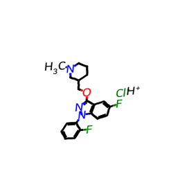 CN1CCCC(COc2nn(-c3ccccc3F)c3ccc(F)cc23)C1.[Cl-].[H+]